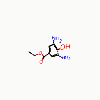 CCOC(=O)c1cc(N)c(O)c(N)c1